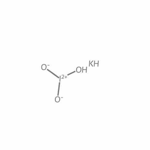 [KH].[O-][I+2]([O-])O